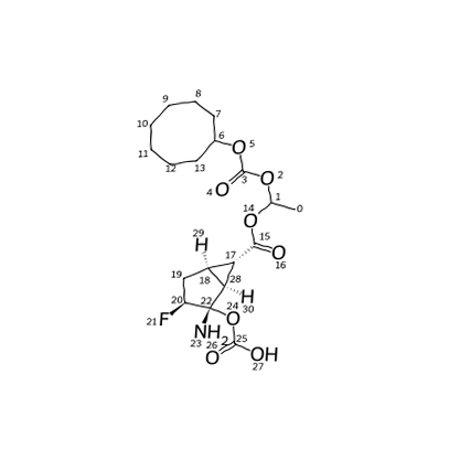 CC(OC(=O)OC1CCCCCCC1)OC(=O)[C@H]1[C@@H]2C[C@H](F)[C@@](N)(OC(=O)O)[C@@H]21